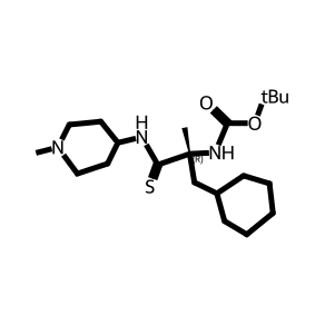 CN1CCC(NC(=S)[C@@](C)(CC2CCCCC2)NC(=O)OC(C)(C)C)CC1